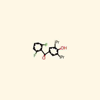 CC(C)c1cc(C(=O)c2c(F)cccc2F)cc(C(C)C)c1O